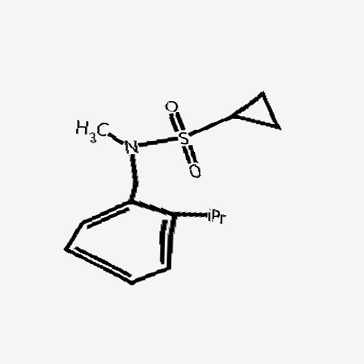 CC(C)c1ccccc1N(C)S(=O)(=O)C1CC1